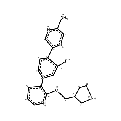 Nc1cnc(-c2ccc(-c3cccnc3OCC3CCNC3)cc2F)cn1